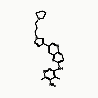 Cc1nnc(Nc2ccc3ncc(-c4cnn(CCCN5CCCC5)c4)cc3n2)c(C)c1N